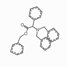 O=C(OCc1ccccc1)C(c1ccccc1)N(Cc1ccccc1)Cc1ccccc1